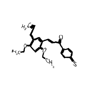 C=CCc1cc(C=CC(=O)C2=CCC(=S)C=C2)c(OCC)cc1OCC